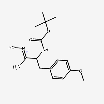 COc1ccc(CC(NC(=O)OC(C)(C)C)/C(N)=N/O)cc1